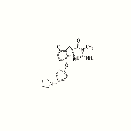 CN(C(=N)N)C(=O)c1cc2c(Cl)ccc(Oc3ccc(CN4CCCC4)cc3)c2[nH]1